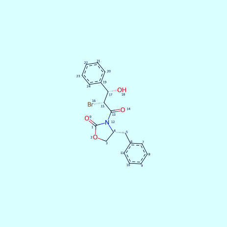 O=C1OC[C@@H](Cc2ccccc2)N1C(=O)[C@H](Br)[C@@H](O)c1ccccc1